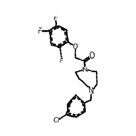 O=C(COc1cc(F)c(F)cc1F)N1CCN(Cc2ccc(Cl)cc2)CC1